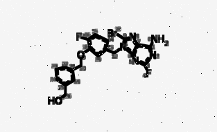 Nc1nc(F)nc2c1nc(Br)n2Cc1ccc(F)c(OCc2cccc(CO)c2)c1